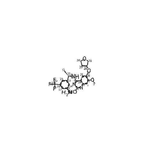 COc1cc2nc(O)nc(N[C@H](C)c3cc(N)cc(C(F)(F)F)c3)c2cc1OC1CCOC1